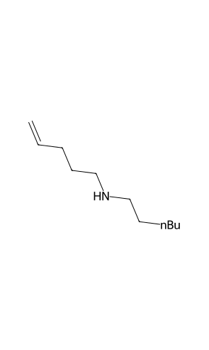 C=CCCCNCCCCCC